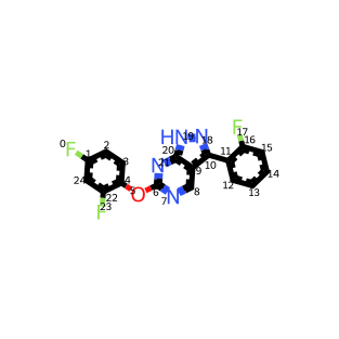 Fc1ccc(Oc2ncc3c(-c4ccccc4F)n[nH]c3n2)c(F)c1